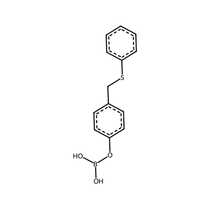 OB(O)Oc1ccc(CSc2ccccc2)cc1